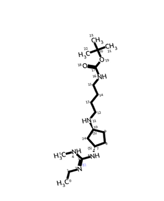 CC/N=C(\NC)N[C@H]1CC[C@H](NCCCCNC(=O)OC(C)(C)C)C1